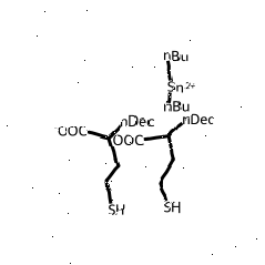 CCCCCCCCCCC(CCS)C(=O)[O-].CCCCCCCCCCC(CCS)C(=O)[O-].CCC[CH2][Sn+2][CH2]CCC